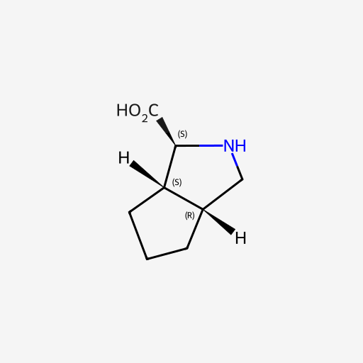 O=C(O)[C@H]1NC[C@@H]2CCC[C@@H]21